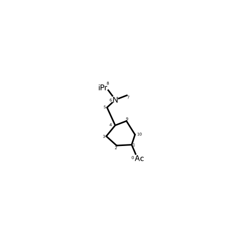 CC(=O)C1CCC(CN(C)C(C)C)CC1